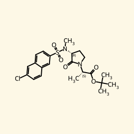 C[C@@H](C(=O)OC(C)(C)C)N1CC[C@@H](N(C)S(=O)(=O)c2ccc3cc(Cl)ccc3c2)C1=O